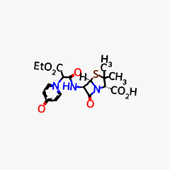 CCOC(=O)C(C(=O)N[C@@H]1C(=O)N2[C@@H]1SC(C)(C)[C@@H]2C(=O)O)n1ccc(=O)cc1